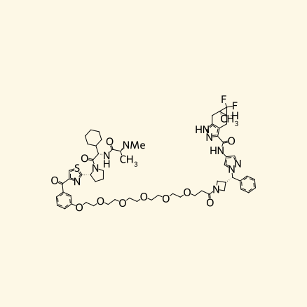 CN[C@@H](C)C(=O)N[C@H](C(=O)N1CCC[C@@H]1c1nc(C(=O)c2cccc(OCCOCCOCCOCCOCCOCCC(=O)N3CC([C@@H](c4ccccc4)n4cc(NC(=O)c5n[nH]c6c5C[C@@H]5C(F)(F)[C@]5(C)C6)cn4)C3)c2)cs1)C1CCCCC1